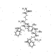 CC[C@H](C)[C@H](NC(=O)[C@H](Cc1c[nH]c2ccccc12)NC(=O)[C@@H](N)CCCNC(=N)N)C(=O)N[C@H](C(=O)N[C@@H](Cc1c[nH]c2ccccc12)C(=O)O)[C@@H](C)CC